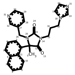 CC1(c2cccc3ccccc23)C(=O)N(CCCn2ccnc2)C(=O)N1Cc1cccnc1